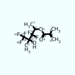 C=C(C)C(=O)OC(C)C(F)(F)C(C)(O)C(F)(F)F